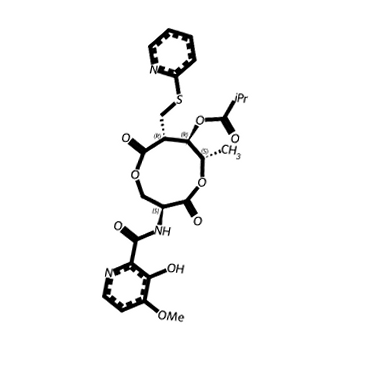 COc1ccnc(C(=O)N[C@H]2COC(=O)[C@H](CSc3ccccn3)[C@@H](OC(=O)C(C)C)[C@H](C)OC2=O)c1O